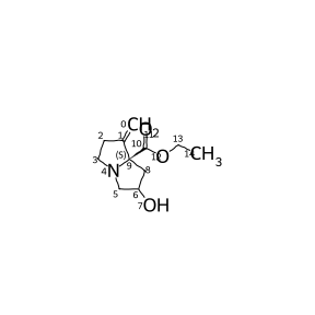 C=C1CCN2CC(O)C[C@@]12C(=O)OCC